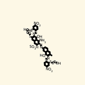 Cc1cc2ccc(N=Nc3c(S(=O)(=O)O)cc4cc(SOOO)c(N=Nc5ccc([N+](=O)[O-])cc5S(=O)(=O)O)c(O)c4c3N)cc2c(O)c1N=Nc1ccc([N+](=O)[O-])cc1SOOO